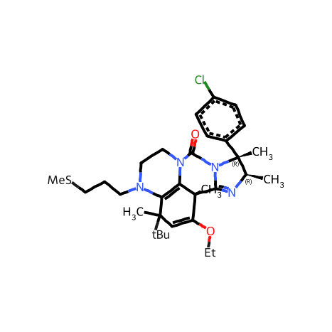 CCOC1=CC(C)(C(C)(C)C)C2=C3N(CCN2CCCSC)C(=O)N2C(=N[C@H](C)[C@@]2(C)c2ccc(Cl)cc2)C13C